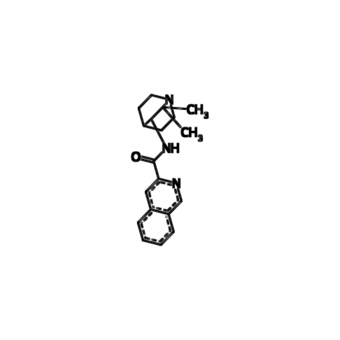 CC1(C)C(NC(=O)c2cc3ccccc3cn2)C2CCN1CC2